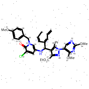 C=C/C=C(\C=C/C)C(Nc1cc(Cl)c(=O)n(Cc2ccc(OC)cc2)c1)c1c(C(=O)OCC)nn(-c2cnc(OC)nc2OC)c1C(C)C